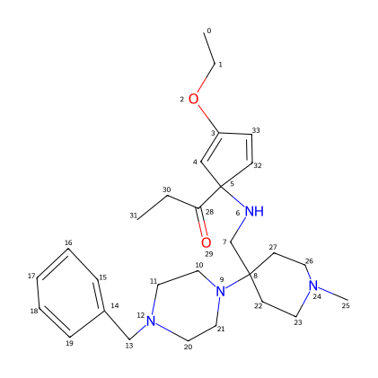 CCOC1=CC(NCC2(N3CCN(Cc4ccccc4)CC3)CCN(C)CC2)(C(=O)CC)C=C1